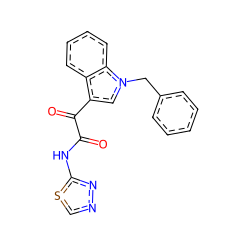 O=C(Nc1nncs1)C(=O)c1cn(Cc2ccccc2)c2ccccc12